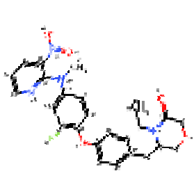 CCN1C(=O)COCC1Cc1ccc(Oc2ccc(N(C)c3ncccc3[N+](=O)[O-])cc2F)cc1